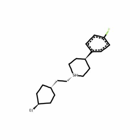 CC[C@H]1CC[C@H](CC[Si@H]2CC[C@H](c3ccc(F)cc3)CC2)CC1